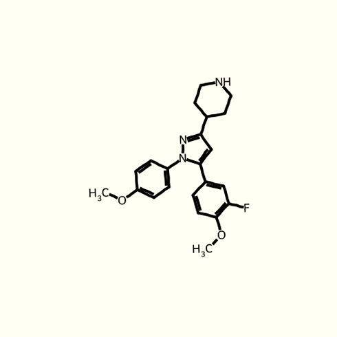 COc1ccc(-n2nc(C3CCNCC3)cc2-c2ccc(OC)c(F)c2)cc1